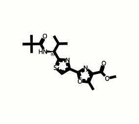 COC(=O)c1nc(-c2csc([C@@H](NC(=O)C(C)(C)C)C(C)C)n2)oc1C